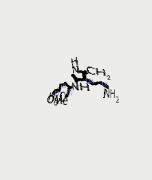 C=c1[nH]cc(NC(/C=C\C=C\OC)=C/C)/c1=C/C=C\N